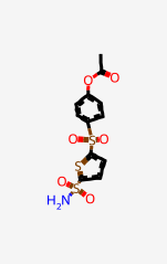 CC(=O)Oc1ccc(S(=O)(=O)c2ccc(S(N)(=O)=O)s2)cc1